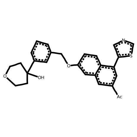 CC(=O)c1cc(-c2cncs2)c2ccc(OCc3cccc(C4(O)CCOCC4)c3)cc2c1